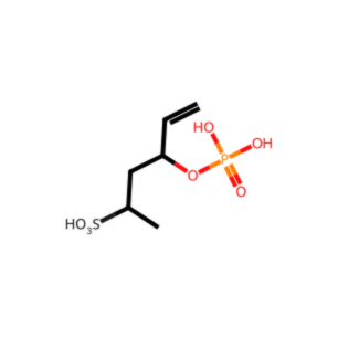 C=CC(CC(C)S(=O)(=O)O)OP(=O)(O)O